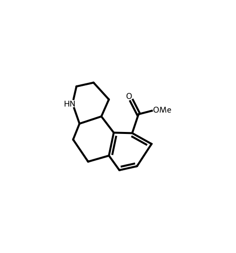 COC(=O)c1cccc2c1C1CCCNC1CC2